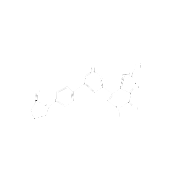 Cn1cc2c(-c3cncc(-c4ccc(N5CCCC5=O)cc4)c3)c[nH]c(=O)c2n1